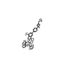 CN(C)CC1=CC(C)(c2ccc(-c3cc(F)c4c(c3)C(=O)N(C(C(=O)Nc3nccs3)c3ncn5c3CCC5)C4)cc2)C1